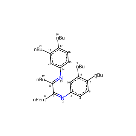 CCCCCC(=Nc1ccc(CCCC)c(CCCC)c1)C(CCCC)=Nc1ccc(CCCC)c(CCCC)c1